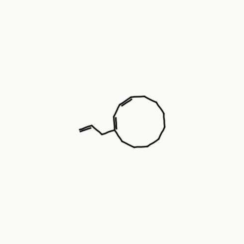 C=CCC1=CC=CCCCCCCCC1